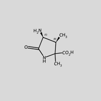 C[C@@H]1[C@H](N)C(=O)NC1(C)C(=O)O